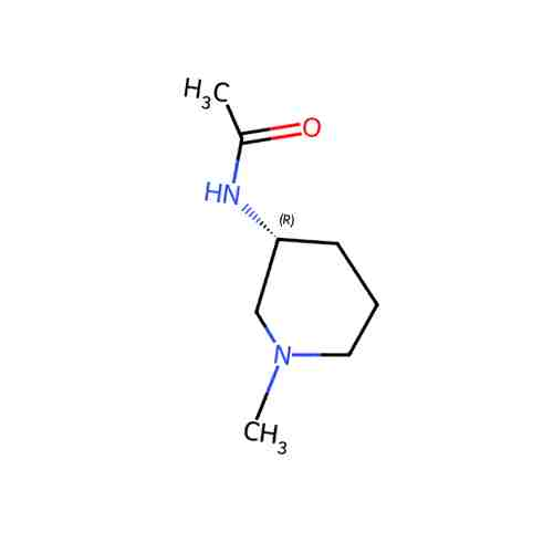 CC(=O)N[C@@H]1CCCN(C)C1